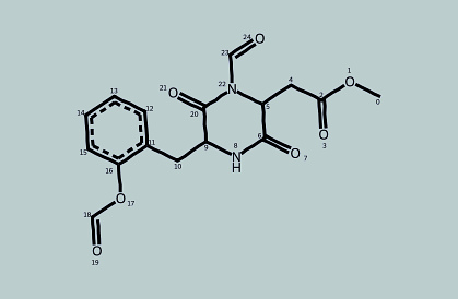 COC(=O)CC1C(=O)NC(Cc2ccccc2OC=O)C(=O)N1C=O